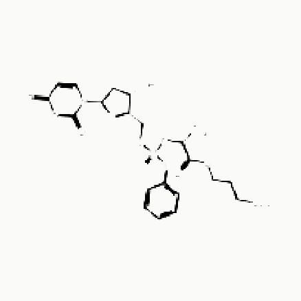 C[C@H](NP(=O)(OC[C@H]1O[C@@H](n2ccc(=O)[nH]c2=O)C[C@@H]1O)Oc1ccccc1)C(=O)OCCCC(=O)O